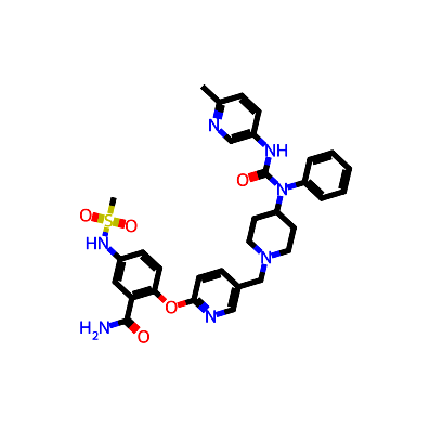 Cc1ccc(NC(=O)N(c2ccccc2)C2CCN(Cc3ccc(Oc4ccc(NS(C)(=O)=O)cc4C(N)=O)nc3)CC2)cn1